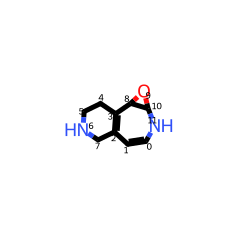 C1=CC2=C(CCNC2)C2OC2N1